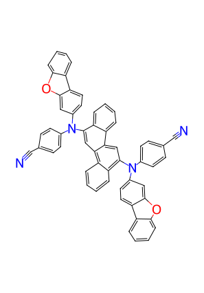 N#Cc1ccc(N(c2ccc3c(c2)oc2ccccc23)c2cc3c4ccccc4c(N(c4ccc(C#N)cc4)c4ccc5c(c4)oc4ccccc45)cc3c3ccccc23)cc1